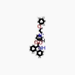 O=C(O[C@H]1C[N+]2(CCCOc3ccccc3)CCC1CC2)C(Nc1ccccc1)c1ccccc1